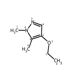 CCOc1[c]nn(C)c1C